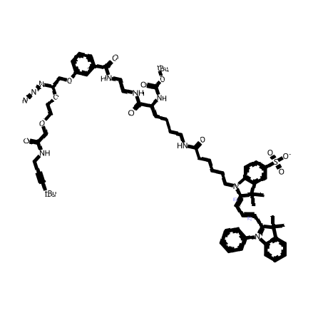 CC(C)(C)C#CCNC(=O)COCCOC(COc1cccc(C(=O)NCCNC(=O)C(CCCCNC(=O)CCCCCN2/C(=C/C=C/C3=[N+](c4ccccc4)c4ccccc4C3(C)C)C(C)(C)c3cc(S(=O)(=O)[O-])ccc32)NC(=O)OC(C)(C)C)c1)N=[N+]=[N-]